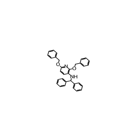 c1ccc(COc2ccc(NC(c3ccccc3)c3ccccc3)c(OCc3ccccc3)n2)cc1